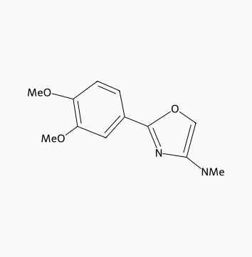 CNc1coc(-c2ccc(OC)c(OC)c2)n1